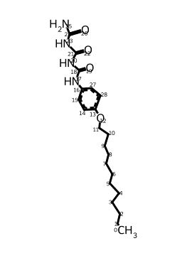 CCCCCCCCCCCCOc1ccc(NC(=O)NC(=O)NC(N)=O)cc1